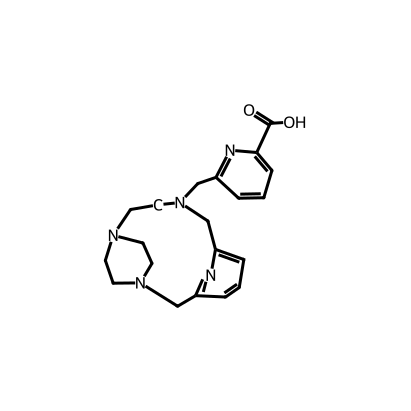 O=C(O)c1cccc(CN2CCN3CCN(CC3)Cc3cccc(n3)C2)n1